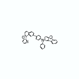 c1ccc(N(c2ccc(-c3ccc4ccc5oc6cccnc6c5c4c3)cc2)c2ccc3oc4ccccc4c3c2)cc1